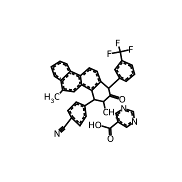 Cc1cc2c3c(ccc2c2ccccc12)C(c1cccc(C(F)(F)F)c1)C(=O)C(C)C3c1ccc(C#N)cc1.O=C(O)c1cncnc1